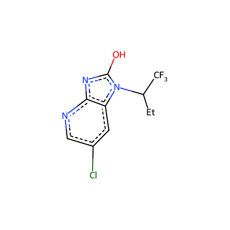 CCC(n1c(O)nc2ncc(Cl)cc21)C(F)(F)F